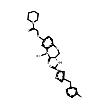 CN1C(=O)[C@@H](NC(=O)n2cc(Cc3cccc(F)c3)cn2)COc2ccc(OCC(=O)N3CCCCC3)cc21